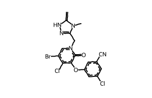 C=C1NN=C(Cn2cc(Br)c(Cl)c(Oc3cc(Cl)cc(C#N)c3)c2=O)N1C